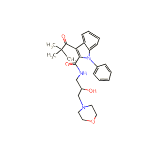 CC(C)(C)C(=O)c1c(C(=O)NCC(O)CN2CCOCC2)n(-c2ccccc2)c2ccccc12